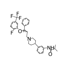 CC(C)C(=O)Nc1cccc(C2CCN(CC[C@@H](Oc3cc(C(F)(F)F)ccc3F)c3ccccc3)CC2)c1